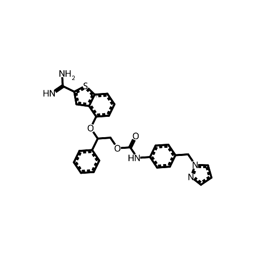 N=C(N)c1cc2c(OC(COC(=O)Nc3ccc(Cn4cccn4)cc3)c3ccccc3)cccc2s1